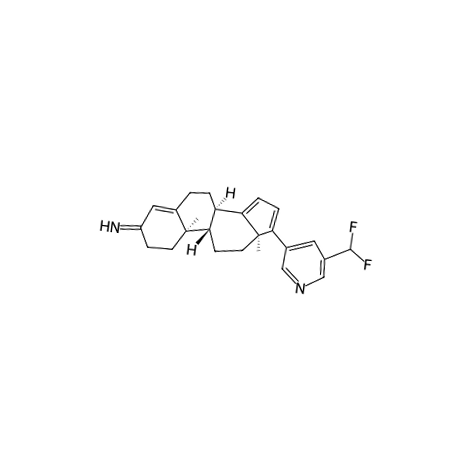 C[C@]12CC[C@H]3[C@@H](CCC4=CC(=N)CC[C@@]43C)C1=CC=C2c1cncc(C(F)F)c1